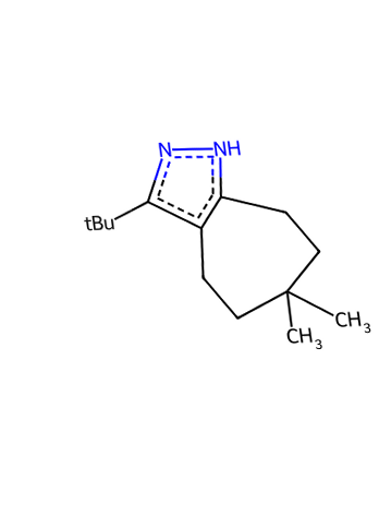 CC1(C)CCc2[nH]nc(C(C)(C)C)c2CC1